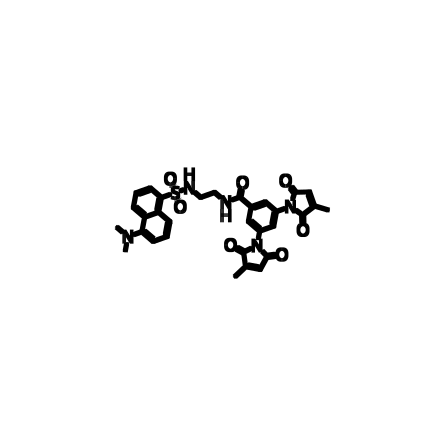 CC1=CC(=O)N(c2cc(C(=O)NCCNS(=O)(=O)c3cccc4c(N(C)C)cccc34)cc(N3C(=O)C=C(C)C3=O)c2)C1=O